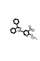 COc1ncc(NN=C(c2ccccc2)c2ccccc2)cc1[N+](=O)[O-]